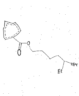 CCCC(CC)CCCCOC(=O)c1ccccc1